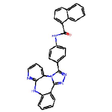 O=C(Nc1ccc(-c2nnc3n2-c2cccnc2Nc2ccccc2-3)cc1)c1cccc2ccccc12